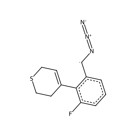 [N-]=[N+]=N[CH]c1cccc(F)c1C1=CCSCC1